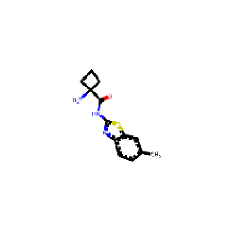 Cc1ccc2nc(NC(=O)C3(N)CCC3)sc2c1